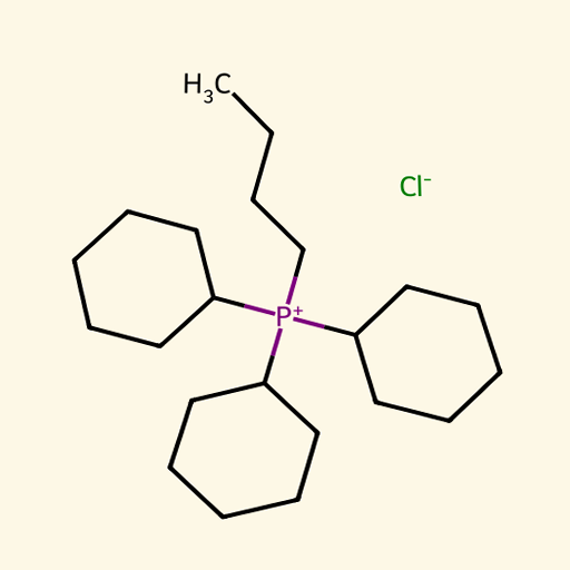 CCCC[P+](C1CCCCC1)(C1CCCCC1)C1CCCCC1.[Cl-]